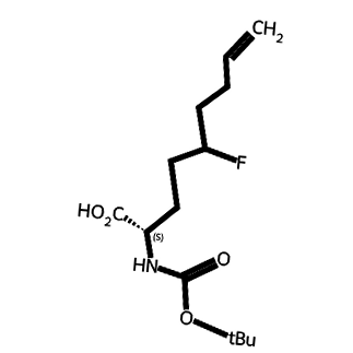 C=CCCC(F)CC[C@H](NC(=O)OC(C)(C)C)C(=O)O